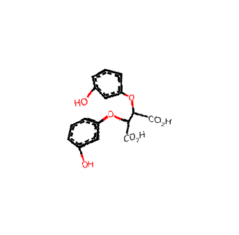 O=C(O)C(Oc1cccc(O)c1)C(Oc1cccc(O)c1)C(=O)O